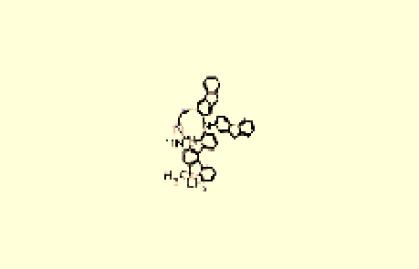 CC1(C)c2ccccc2-c2c1ccc1c2c2cccc3c2n1C(=N)/N=C\C=C/c1cc2c(cc1N3c1ccc3c(c1)Cc1ccccc1-3)Cc1ccccc1-2